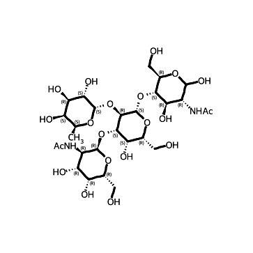 CC(=O)N[C@H]1[C@@H](O[C@H]2[C@@H](O)[C@@H](CO)O[C@@H](O[C@H]3[C@H](O)[C@@H](NC(C)=O)C(O)O[C@@H]3CO)[C@@H]2O[C@@H]2O[C@@H](C)[C@@H](O)[C@@H](O)[C@@H]2O)O[C@H](CO)[C@H](O)[C@@H]1O